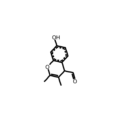 CC1=C(C)C(C=O)c2ccc(O)cc2O1